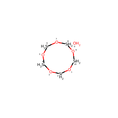 O.O1[SiH2]O[SiH2]O[SiH2]O[SiH2]O[SiH2]1